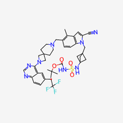 Cc1c(CN2CCC3(CC2)CN(c2ncnc4ccc(CC(F)(F)F)cc24)C3)ccc2c1cc(C#N)n2CC12CC(NS(=O)(=O)NC(=O)OC(C)(C)C)(C1)C2